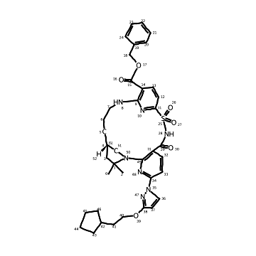 CC1(C)C[C@@H]2CCCNc3nc(ccc3C(=O)OCc3ccccc3)S(=O)(=O)NC(=O)c3ccc(-n4ccc(OCCC5CCCC5)n4)nc3N1C2